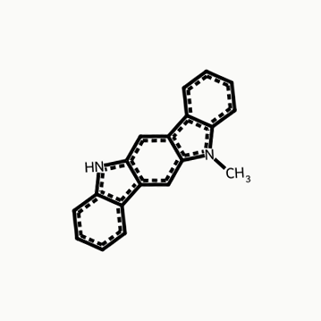 Cn1c2ccccc2c2cc3[nH]c4ccccc4c3cc21